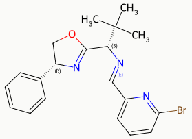 CC(C)(C)[C@H](/N=C/c1cccc(Br)n1)C1=N[C@H](c2ccccc2)CO1